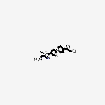 C=C(/N=C\C=C/N)c1ccc(N2CCC(C(=O)CCl)CC2)nc1